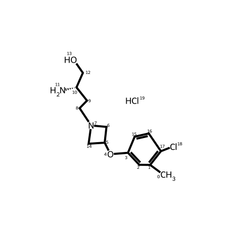 Cc1cc(OC2CN(CC[C@H](N)CO)C2)ccc1Cl.Cl